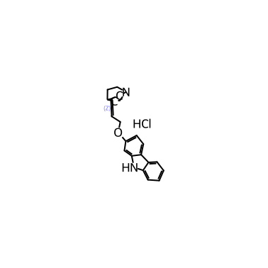 C(/COc1ccc2c(c1)[nH]c1ccccc12)=C1/CN2CCC1CC2.Cl